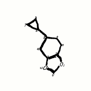 C1OC2=C(CC(C3CC3)CC2)O1